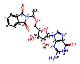 CCC(OC[C@H]1O[C@@H](n2cnc3c(=O)[nH]c(N)nc32)[C@H](O)[C@@H]1O)N1C(=O)c2ccccc2C1=O